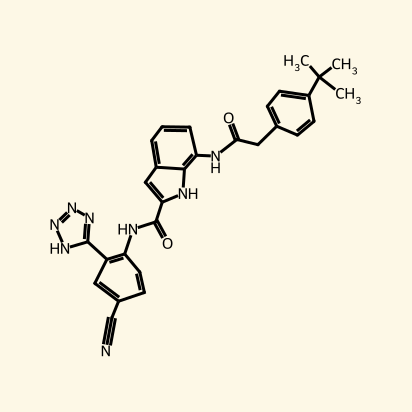 CC(C)(C)c1ccc(CC(=O)Nc2cccc3cc(C(=O)Nc4ccc(C#N)cc4-c4nnn[nH]4)[nH]c23)cc1